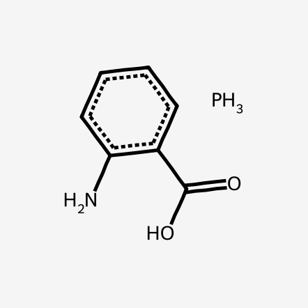 Nc1ccccc1C(=O)O.P